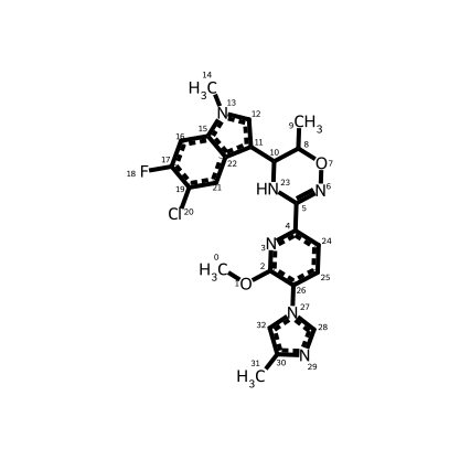 COc1nc(C2=NOC(C)C(c3cn(C)c4cc(F)c(Cl)cc34)N2)ccc1-n1cnc(C)c1